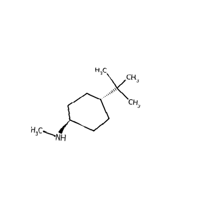 CN[C@H]1CC[C@H](C(C)(C)C)CC1